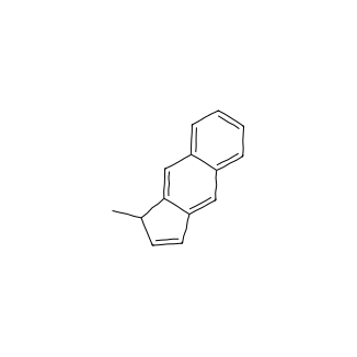 CC1C=Cc2cc3ccccc3cc21